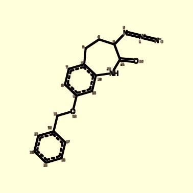 [N-]=[N+]=NC1CCc2ccc(OCc3ccccc3)cc2NC1=O